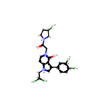 O=C(Cn1ccc2c(c(-c3ccc(F)c(Cl)c3)cn2CC(F)F)c1=O)N1CCC(F)C1